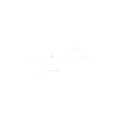 CC1=NOC(N2C(=O)C(C)N(C)C2=O)C1